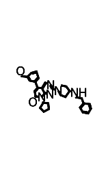 O=Cc1cccc(-c2cc(=O)n(C3CCCC3)c3nc(N4CCC(NCCc5ccccc5)CC4)ncc23)c1